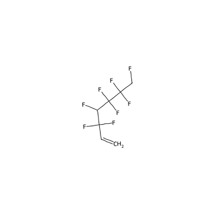 C=CC(F)(F)C(F)C(F)(F)C(F)(F)CF